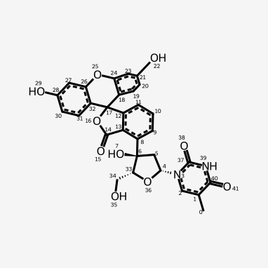 Cc1cn([C@H]2C[C@@](O)(c3cccc4c3C(=O)OC43c4ccc(O)cc4Oc4cc(O)ccc43)[C@@H](CO)O2)c(=O)[nH]c1=O